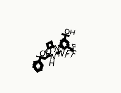 CC(C)(O)c1cc(C(F)(F)F)c2nc(NC(=O)C[C@@](C)(O)c3ccccc3)n(C3CCC3)c2c1